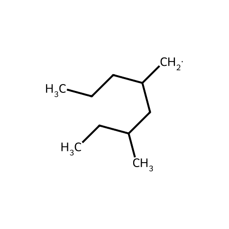 [CH2]C(CCC)CC(C)CC